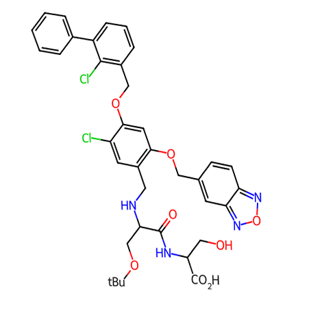 CC(C)(C)OCC(NCc1cc(Cl)c(OCc2cccc(-c3ccccc3)c2Cl)cc1OCc1ccc2nonc2c1)C(=O)NC(CO)C(=O)O